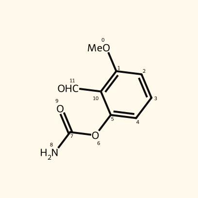 COc1cccc(OC(N)=O)c1C=O